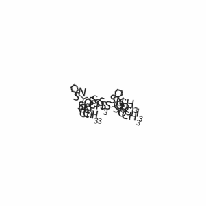 CO[Si](CC(CSSSSSSCC(C[Si](OC)(OC)OC)c1nc2ccccc2s1)c1nc2ccccc2s1)(OC)OC